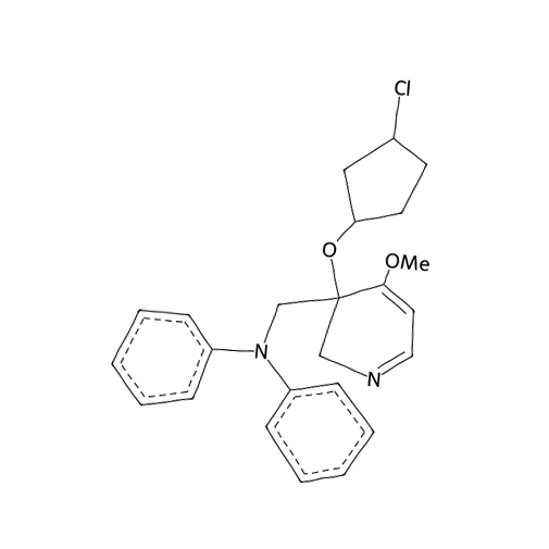 COC1=CC=NCC1(CN(c1ccccc1)c1ccccc1)OC1CCC(Cl)C1